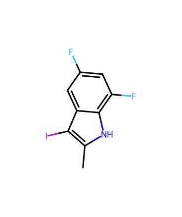 Cc1[nH]c2c(F)cc(F)cc2c1I